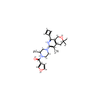 CC(C)C1CN(c2nc(C3=CC=C3)c3c(c2C#N)CC(C)(C)OC3)CCN1C(=O)c1ccoc1